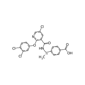 C[C@H](NC(=O)c1cc(Cl)cnc1Oc1ccc(Cl)c(Cl)c1)c1ccc(C(=O)O)cc1